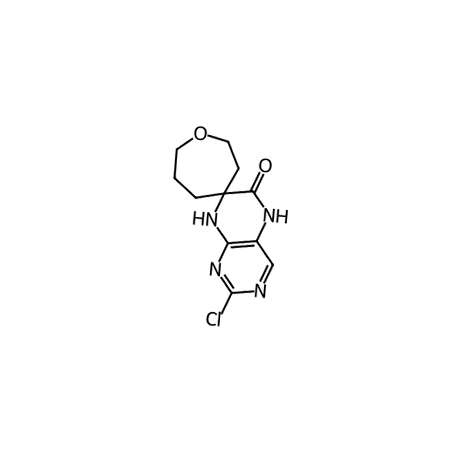 O=C1Nc2cnc(Cl)nc2NC12CCCOCC2